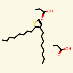 CCC(=O)O.CCC(=O)O.CCCCCCCCc1ccsc1CCCCCCCC